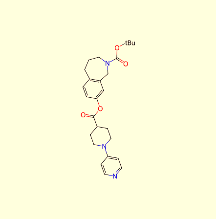 CC(C)(C)OC(=O)N1CCCc2ccc(OC(=O)C3CCN(c4ccncc4)CC3)cc2C1